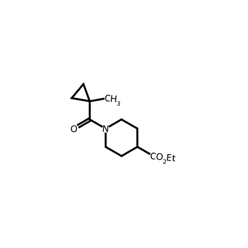 CCOC(=O)C1CCN(C(=O)C2(C)CC2)CC1